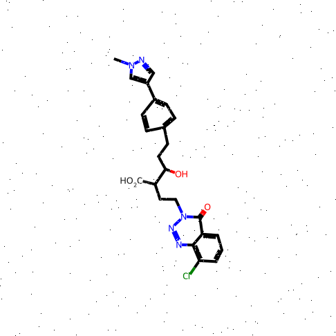 Cn1cc(-c2ccc(CCC(O)C(CCn3nnc4c(Cl)cccc4c3=O)C(=O)O)cc2)cn1